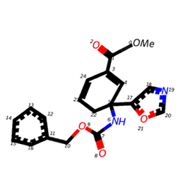 COC(=O)C1=CC(NC(=O)OCc2ccccc2)(c2cnco2)CC=C1